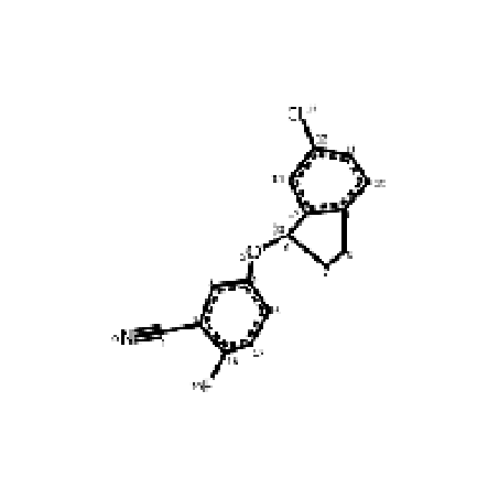 N#Cc1cc(O[C@@H]2CCc3ccc(Cl)cc32)ccc1F